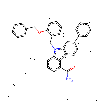 NC(=O)c1cccc2c1c1[c]cc(-c3ccccc3)cc1n2Cc1ccccc1OCc1ccccc1